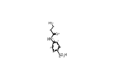 O=C(CCS)Nc1ccc(S(=O)(=O)O)cc1